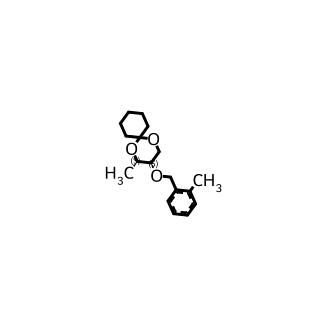 Cc1ccccc1CO[C@H]1COC2(CCCCC2)O[C@H]1C